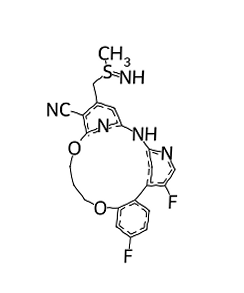 CS(=N)Cc1cc2nc(c1C#N)OCCCOc1cc(F)ccc1-c1cc(ncc1F)N2